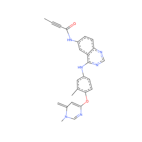 C=C1C=C(Oc2ccc(Nc3ncnc4ccc(NC(=O)C#CC)cc34)cc2C)N=CN1C